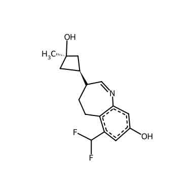 C[C@]1(O)C[C@@H](C2C=Nc3cc(O)cc(C(F)F)c3CC2)C1